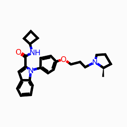 C[C@@H]1CCCN1CCCOc1ccc(-n2c(C(=O)NC3CCC3)cc3ccccc32)cc1